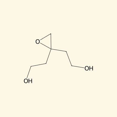 OCCC1(CCO)CO1